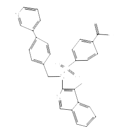 Cc1c(N(Cc2ccc(-c3cccnc3)cc2)S(=O)(=O)c2ccc(C(=O)O)cc2)ncc2ccccc12